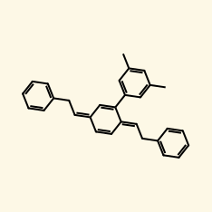 Cc1cc(C)cc(-c2cc(=CCc3ccccc3)ccc2=CCc2ccccc2)c1